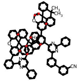 CC1(C)c2ccccc2C2(c3ccccc3Oc3cc(-c4cc(CC5(C)c6ccccc6C6(c7ccccc7Oc7cc(-c8ccccc8-c8nc(-c9ccccc9)cc(-c9ccc%10c(ccc%11ccccc%11%10)c9)n8)ccc76)c6ccccc65)cc(-c5cc(-c6cccc(-c7cccc(C#N)c7)c6)nc(-c6ccccc6)n5)c4)ccc32)c2ccccc21